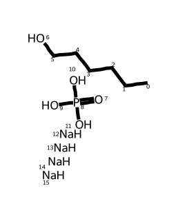 CCCCCCO.O=P(O)(O)O.[NaH].[NaH].[NaH].[NaH]